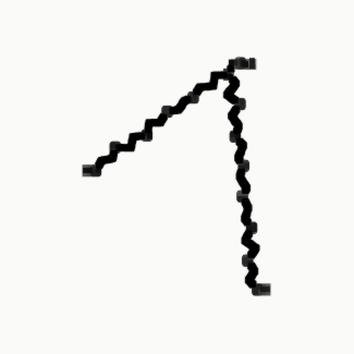 CCCCCCCCN(CCCOCCOCCOCCOCCO)CCOCCOCCOCCOCCOCCOCCO